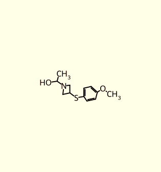 COc1ccc(SC2CN(C(C)O)C2)cc1